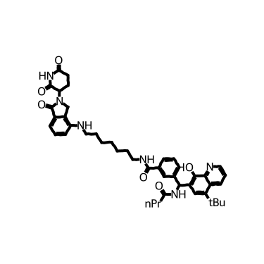 CCCC(=O)NC(c1cccc(C(=O)NCCCCCCCNc2cccc3c2CN(C2CCC(=O)NC2=O)C3=O)c1)c1cc(C(C)(C)C)c2cccnc2c1O